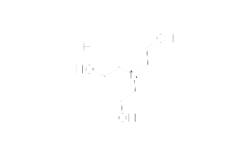 I.OCCN(CCO)CCO